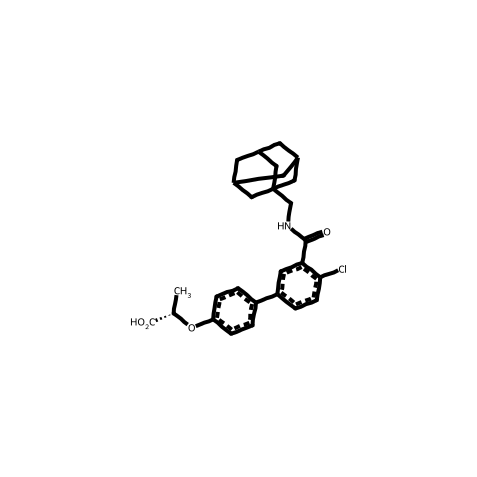 C[C@H](Oc1ccc(-c2ccc(Cl)c(C(=O)NCC34CC5CC(CC(C5)C3)C4)c2)cc1)C(=O)O